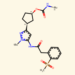 CC[C@H](C)NC(=O)O[C@@H]1CC[C@H](c2cc(NC(=O)Cc3ccccc3S(C)(=O)=O)n(C(C)(C)C)n2)C1